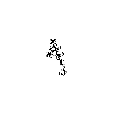 CC(C)(C)OC(=O)N[C@@H](CCC(=O)OCCSCCO)C(=O)OC(C)(C)C